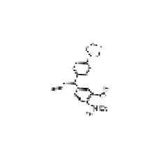 C=CC=C(c1ccc(N2CCCC2)cc1)c1ccc(N(CC)CC)c(OCC)c1